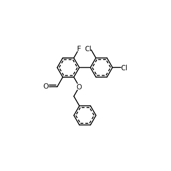 O=Cc1ccc(F)c(-c2ccc(Cl)cc2Cl)c1OCc1ccccc1